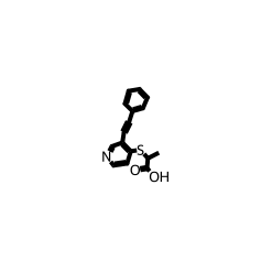 CC(Sc1ccncc1C#Cc1ccccc1)C(=O)O